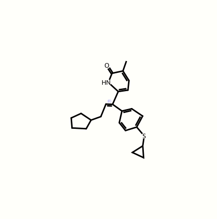 Cc1ccc(/C(=C/CC2CCCC2)c2ccc(SC3CC3)cc2)[nH]c1=O